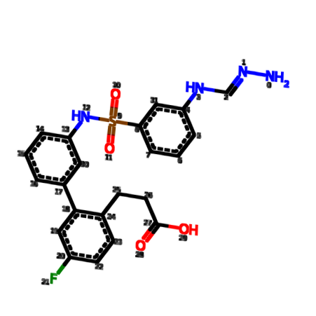 NN=CNc1cccc(S(=O)(=O)Nc2cccc(-c3cc(F)ccc3CCC(=O)O)c2)c1